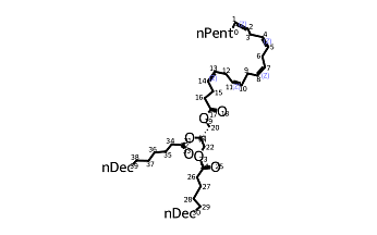 CCCCC/C=C\C/C=C\C/C=C\C/C=C\C/C=C\CCC(=O)OC[C@H](COC(=O)CCCCCCCCCCCCCC)OC(=O)CCCCCCCCCCCCCCC